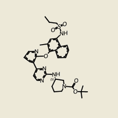 CCCS(=O)(=O)Nc1cc(C)c(Oc2ncccc2-c2ccnc(N[C@H]3CCCN(C(=O)OC(C)(C)C)C3)n2)c2ccccc12